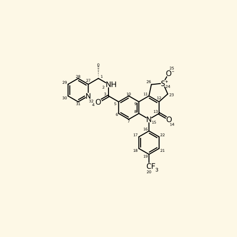 C[C@H](NC(=O)c1ccc2c(c1)c1c(c(=O)n2-c2ccc(C(F)(F)F)cc2)C[S+]([O-])C1)c1ccccn1